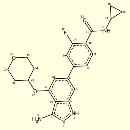 Nc1n[nH]c2cc(-c3ccc(C(=O)NC4CC4)c(F)c3)cc(OC3CCOCC3)c12